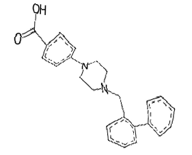 O=C(O)c1ccc(N2CCN(Cc3ccccc3-c3ccccc3)CC2)cc1